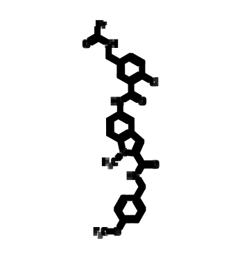 CC(C)C(=O)NCc1ccc(Cl)c(C(=O)Nc2ccc3c(c2)cc(C(=O)NCc2ccc(OC(F)(F)F)cc2)n3C)c1